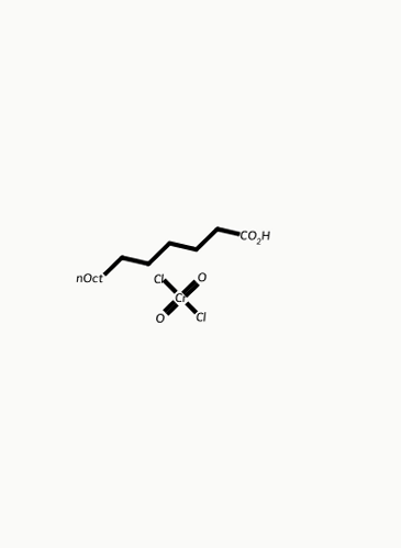 CCCCCCCCCCCCCC(=O)O.[O]=[Cr](=[O])([Cl])[Cl]